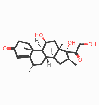 C[C@H]1C[C@@H]2[C@H]([C@@H](O)C[C@@]3(C)[C@H]2C[C@H](C)[C@]3(O)C(=O)CO)[C@@]2(C)CCC(=O)C=C12